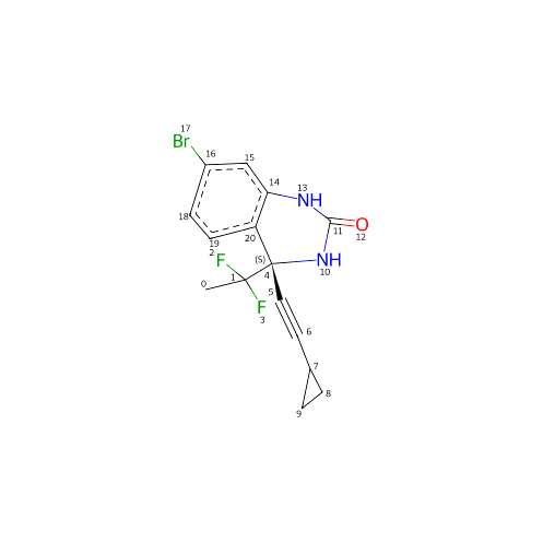 CC(F)(F)[C@@]1(C#CC2CC2)NC(=O)Nc2cc(Br)ccc21